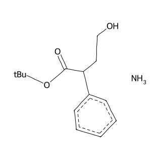 CC(C)(C)OC(=O)C(CCO)c1ccccc1.N